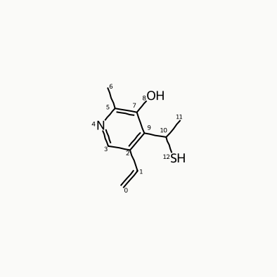 C=Cc1cnc(C)c(O)c1C(C)S